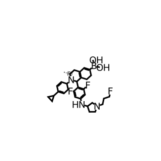 C[C@@H]1CC2=C(CCC(B(O)O)=C2)C(c2c(F)cc(NC3CCN(CCCF)C3)cc2F)N1C1C=CC(C2CC2)=CC1